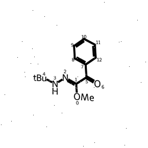 COC(=NNC(C)(C)C)C(=O)c1ccccc1